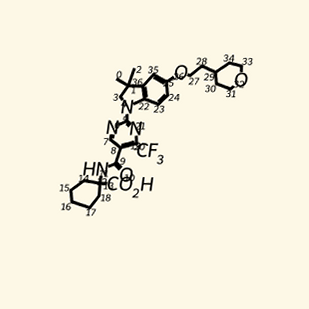 CC1(C)CN(c2ncc(C(=O)NC3(C(=O)O)CCCCC3)c(C(F)(F)F)n2)c2ccc(OCCC3CCOCC3)cc21